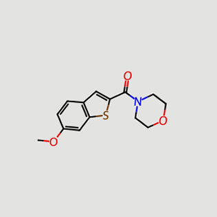 COc1ccc2cc(C(=O)N3CCOCC3)sc2c1